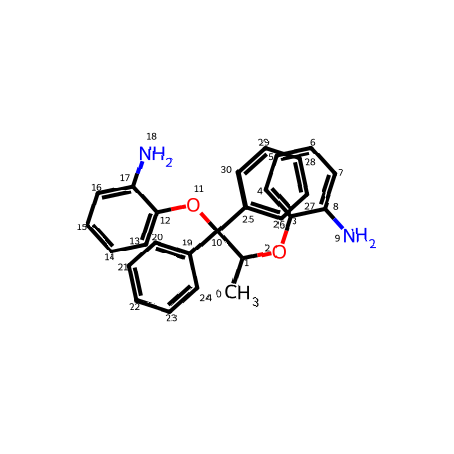 CC(Oc1ccccc1N)C(Oc1ccccc1N)(c1ccccc1)c1ccccc1